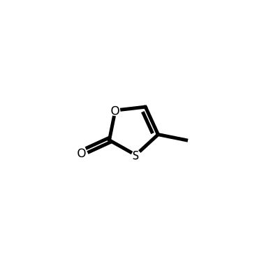 Cc1coc(=O)s1